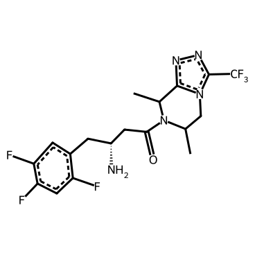 CC1Cn2c(nnc2C(F)(F)F)C(C)N1C(=O)C[C@H](N)Cc1cc(F)c(F)cc1F